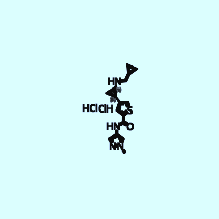 Cl.Cl.Cn1cc(NC(=O)c2cc([C@H]3C[C@@H]3NCC3CC3)cs2)cn1